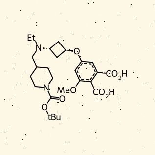 CCN(CC1CCN(C(=O)OC(C)(C)C)CC1)[C@H]1C[C@H](Oc2cc(OC)c(C(=O)O)c(C(=O)O)c2)C1